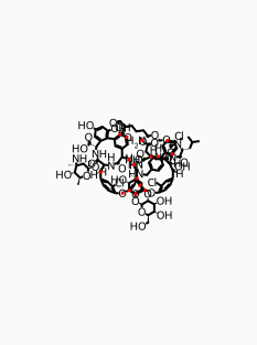 CC(C)C[C@H](C(=O)N[C@H]1C(=O)N[C@@H](CC(N)=O)C(=O)N[C@H]2C(=O)N[C@H]3C(=O)N[C@H](C(=O)N[C@H](C(=O)O)c4cc(O)cc(O)c4-c4cc3ccc4O)[C@H](O[C@H]3C[C@](C)(N)[C@@H](O)[C@H](C)O3)c3ccc(c(Cl)c3)Oc3cc2cc(c3O[C@@H]2O[C@H](CO)[C@@H](O)[C@H](O)[C@H]2O[C@H]2C[C@](C)(NCc3ccc(-c4ccc(Cl)cc4)cc3)[C@@H](O)[C@H](C)O2)Oc2ccc(cc2Cl)[C@H]1O)N(C)C(=O)OCOC(=O)CCCC(C=O)C=O